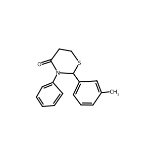 Cc1cccc(C2SCCC(=O)N2c2ccccc2)c1